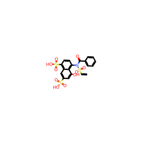 C=CS(=O)(=O)N(C(=O)c1ccccc1)c1ccc(S(=O)(=O)O)c2cc(S(=O)(=O)O)cc(O)c12